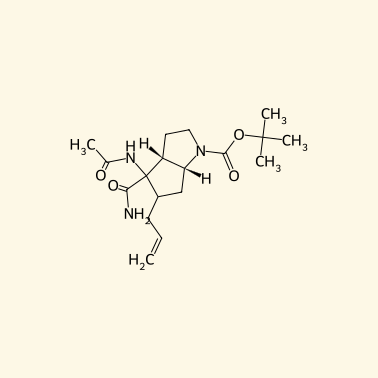 C=CCC1C[C@@H]2[C@@H](CCN2C(=O)OC(C)(C)C)C1(NC(C)=O)C(N)=O